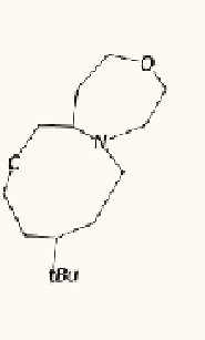 CC(C)(C)C1CCCCC2CCOCCN2CC1